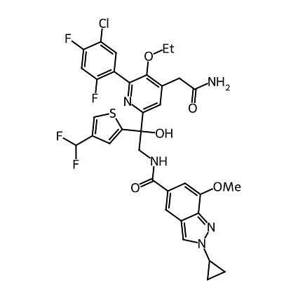 CCOc1c(CC(N)=O)cc(C(O)(CNC(=O)c2cc(OC)c3nn(C4CC4)cc3c2)c2cc(C(F)F)cs2)nc1-c1cc(Cl)c(F)cc1F